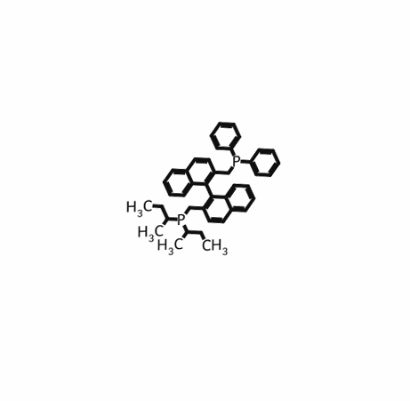 CCC(C)P(Cc1ccc2ccccc2c1-c1c(CP(c2ccccc2)c2ccccc2)ccc2ccccc12)C(C)CC